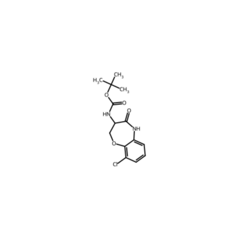 CC(C)(C)OC(=O)NC1COc2c(Cl)cccc2NC1=O